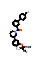 CC(C)c1ccc(-c2cccc(C(=O)N3CCCC(c4cccc(OC(C)(C)C(=O)O)c4)C3)c2)cc1